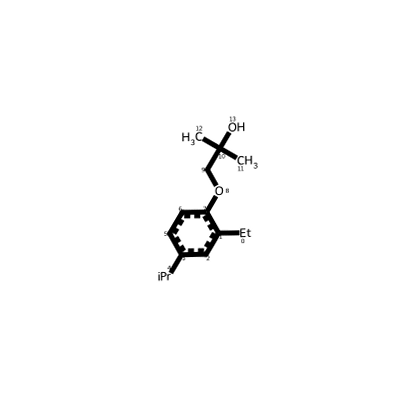 CCc1cc(C(C)C)ccc1OCC(C)(C)O